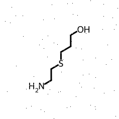 NCCSCCCO